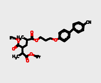 CC(C)OC(=O)C(C)C(CC(C)C(=O)OCCCOc1ccc(-c2ccc(C#N)cc2)cc1)C(=O)OC(C)C